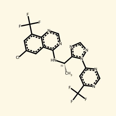 C[C@H](Nc1ncnc2c(C(F)(F)F)cc(Cl)cc12)c1ncnn1-c1cc(C(F)(F)F)ncn1